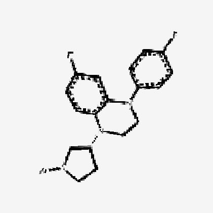 CC(=O)N1CC[C@@H](N2CCN(c3ccc(F)cc3)c3cc(F)ccc32)C1